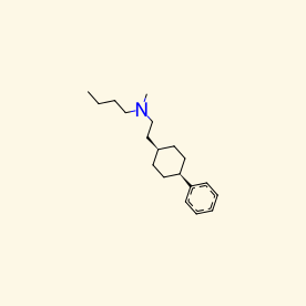 CCCCN(C)CC[C@H]1CC[C@@H](c2ccccc2)CC1